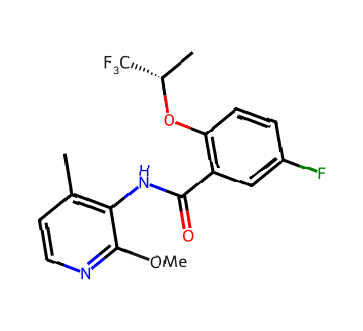 COc1nccc(C)c1NC(=O)c1cc(F)ccc1O[C@@H](C)C(F)(F)F